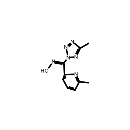 Cc1cccc(/C(=N\O)n2nnc(C)n2)n1